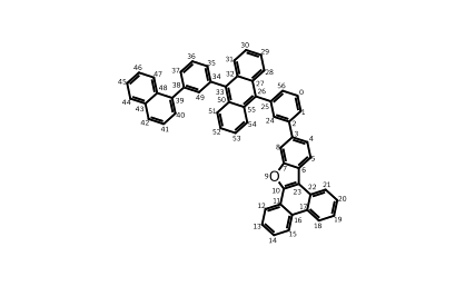 c1cc(-c2ccc3c(c2)oc2c4ccccc4c4ccccc4c32)cc(-c2c3ccccc3c(-c3cccc(-c4cccc5ccccc45)c3)c3ccccc23)c1